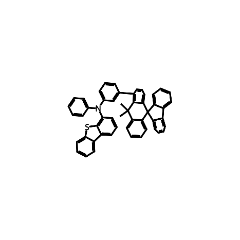 CC1(C)c2ccccc2C2(c3ccccc3-c3ccccc32)c2cccc(-c3cccc(N(c4ccccc4)c4cccc5c4sc4ccccc45)c3)c21